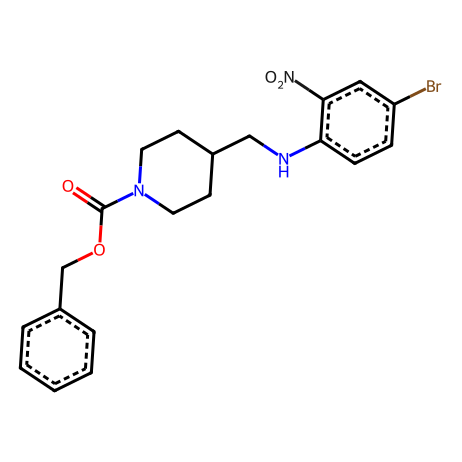 O=C(OCc1ccccc1)N1CCC(CNc2ccc(Br)cc2[N+](=O)[O-])CC1